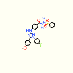 COc1ccc(-c2nc(Nc3ccc(C(=O)NNS(=O)(=O)c4ccccc4)cc3)nn2-c2ccc(F)cc2)cc1